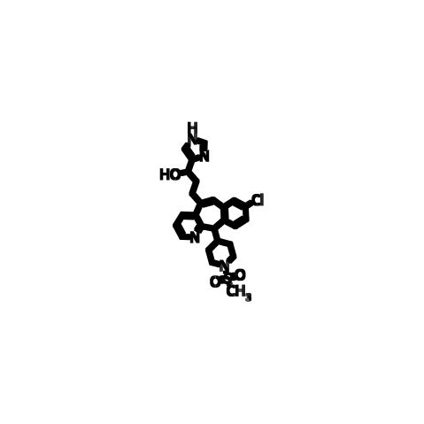 CS(=O)(=O)N1CCC(C2c3ccc(Cl)cc3C=C(CCC(O)c3c[nH]cn3)c3cccnc32)CC1